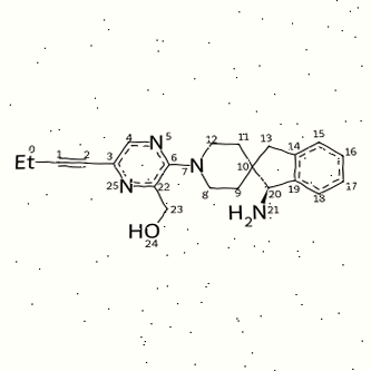 CCC#Cc1cnc(N2CCC3(CC2)Cc2ccccc2[C@H]3N)c(CO)n1